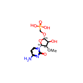 CO[C@@H]1C(O)[C@@H](OCP(=O)(O)O)O[C@H]1n1ccc(N)nc1=O